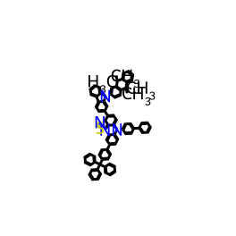 CC1(C)c2ccccc2C(C)(C)c2cc(-n3c4ccccc4c4ccc(-c5ccc(N(c6ccc(-c7ccccc7)cc6)c6ccc(-c7ccc(C(c8ccccc8)(c8ccccc8)c8ccccc8)cc7)cc6)c6nsnc56)cc43)ccc21